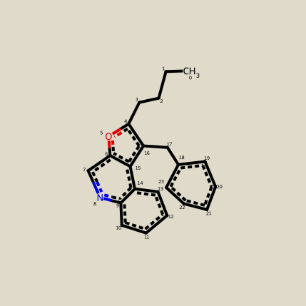 CCCCc1oc2cnc3ccccc3c2c1Cc1ccccc1